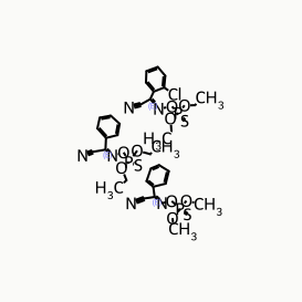 CCOP(=S)(OCC)O/N=C(/C#N)c1ccccc1.CCOP(=S)(OCC)O/N=C(/C#N)c1ccccc1Cl.COP(=S)(OC)O/N=C(/C#N)c1ccccc1